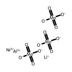 [Al+3].[Li+].[Ni+2].[O]=[Mn](=[O])([O-])[O-].[O]=[Mn](=[O])([O-])[O-].[O]=[Mn](=[O])([O-])[O-]